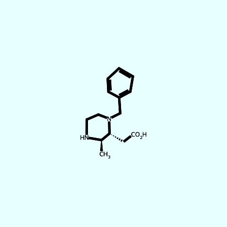 C[C@H]1NCCN(Cc2ccccc2)[C@@H]1CC(=O)O